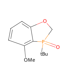 COc1cccc2c1P(=O)(C(C)(C)C)CO2